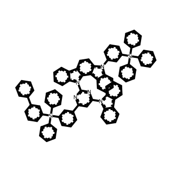 c1ccc(-c2cccc([Si](c3ccccc3)(c3ccccc3)c3cccc(-c4cc(-n5c6ccccc6c6ccccc65)nc(-n5c6ccccc6c6ccc7c(c8ccccc8n7-c7cccc([Si](c8ccccc8)(c8ccccc8)c8ccccc8)c7)c65)n4)c3)c2)cc1